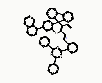 C=CC1=C(/C=C/c2ccccc2-c2nc(-c3ccccc3)nc(-c3ccccc3)n2)Oc2cc(-c3cccc4ccncc34)ccc2C12c1ccccc1-c1ccccc12